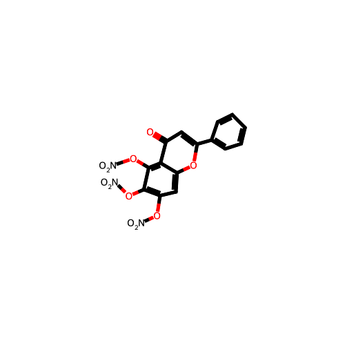 O=c1cc(-c2ccccc2)oc2cc(O[N+](=O)[O-])c(O[N+](=O)[O-])c(O[N+](=O)[O-])c12